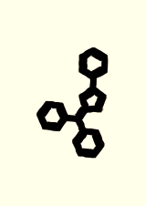 [C]1=CC(c2ccccc2)=CC1=C(c1ccccc1)c1ccccc1